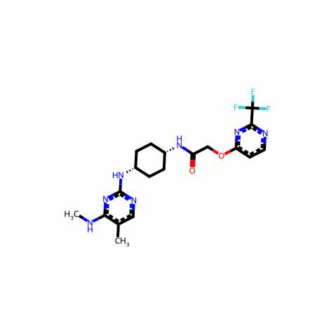 CNc1nc(N[C@H]2CC[C@@H](NC(=O)COc3ccnc(C(F)(F)F)n3)CC2)ncc1C